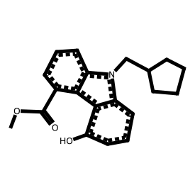 COC(=O)c1cccc2c1c1c(O)cccc1n2CC1CCCC1